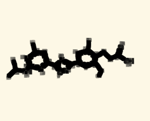 CCc1cc(-c2noc(-c3cc(C)nc(NC(C)C)n3)n2)cc(C)c1CCC(=O)O